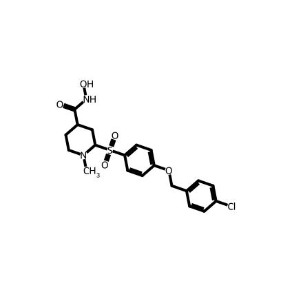 CN1CCC(C(=O)NO)CC1S(=O)(=O)c1ccc(OCc2ccc(Cl)cc2)cc1